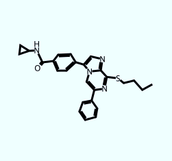 CCCCSc1nc(-c2ccccc2)cn2c(-c3ccc(C(=O)NC4CC4)cc3)cnc12